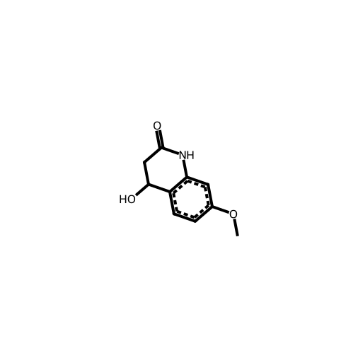 COc1ccc2c(c1)NC(=O)CC2O